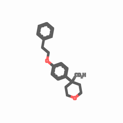 O=C(O)C1(c2ccc(OCCc3ccccc3)cc2)CCOCC1